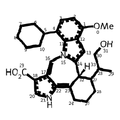 COc1ccc(C2CCCCC2)c2c1cc1n2C=c2c(C(=O)O)c[nH]c2=C2CCCC(C(C)CO)[C@H]21